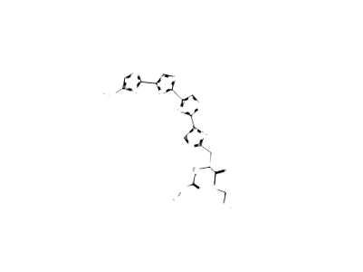 CC(C)(C)OC(=O)N[C@@H](Cc1nc(-c2nc(-c3nc(-c4nc(C#N)co4)cs3)co2)cs1)C(=O)OCC#N